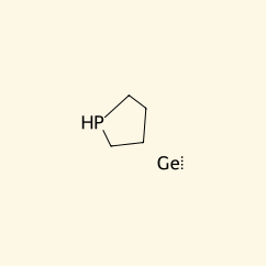 C1CCPC1.[Ge]